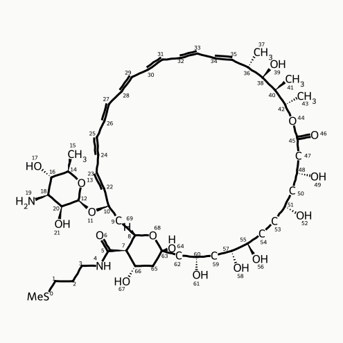 CSCCCNC(=O)[C@H]1[C@@H]2C[C@@H](O[C@@H]3O[C@H](C)[C@@H](O)[C@H](N)[C@@H]3O)/C=C/C=C/C=C/C=C/C=C/C=C/C=C/[C@H](C)[C@@H](O)[C@@H](C)[C@H](C)OC(=O)C[C@H](O)C[C@H](O)CC[C@@H](O)[C@H](O)C[C@H](O)C[C@](O)(C[C@@H]1O)O2